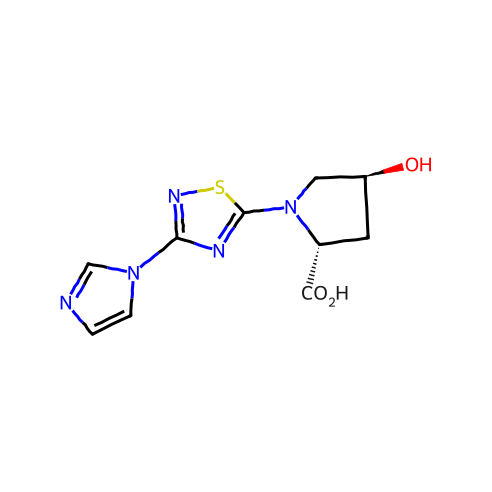 O=C(O)[C@H]1C[C@H](O)CN1c1nc(-n2ccnc2)ns1